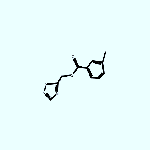 Cc1cccc(C(=O)SCc2ncns2)c1